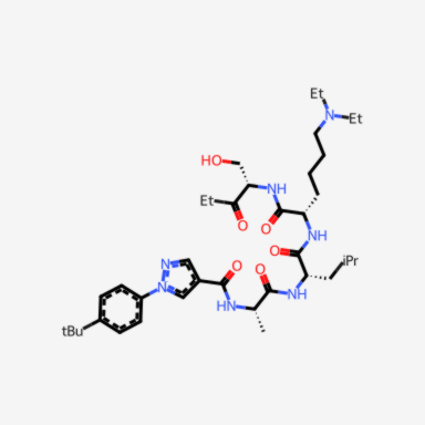 CCC(=O)[C@H](CO)NC(=O)[C@H](CCCCN(CC)CC)NC(=O)[C@H](CC(C)C)NC(=O)[C@H](C)NC(=O)c1cnn(-c2ccc(C(C)(C)C)cc2)c1